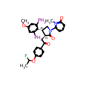 COc1cc(P)c([C@@H]2CN(c3cccc(=O)n3C)C(=O)[C@H]2CC(=O)c2ccc(OC(C)F)cc2)c(P)c1